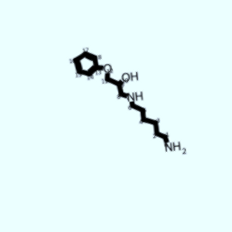 NCCCCCCNCC(O)COc1ccccc1